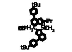 CC1=Cc2c(-c3ccc(C(C)(C)C)cc3)cccc2C1[SiH](C)C1C(C(C)C)=Cc2c(-c3ccc(C(C)(C)C)cc3)cccc21.[Cl-].[Cl-].[Zr+2]